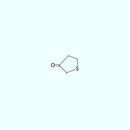 O=C1[CH]SCC1